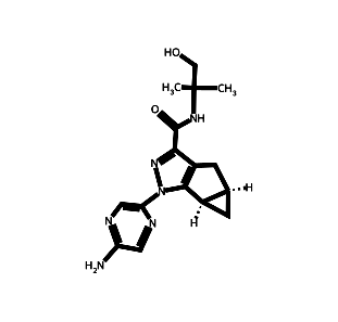 CC(C)(CO)NC(=O)c1nn(-c2cnc(N)cn2)c2c1C[C@H]1C[C@@H]21